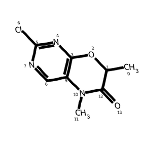 CC1Oc2nc(Cl)ncc2N(C)C1=O